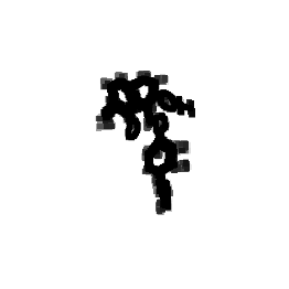 CC#CC1CCC(OCC2C(O)CCc3ccc(C)c(=O)n32)CC1